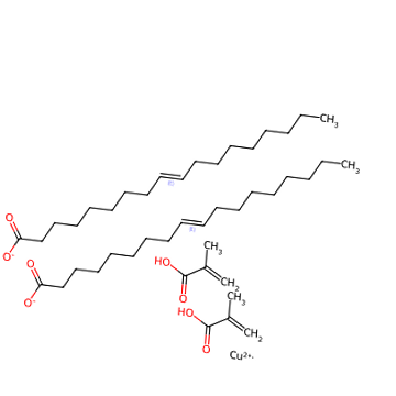 C=C(C)C(=O)O.C=C(C)C(=O)O.CCCCCCCC/C=C/CCCCCCCC(=O)[O-].CCCCCCCC/C=C/CCCCCCCC(=O)[O-].[Cu+2]